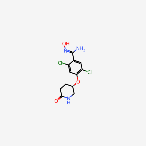 N/C(=N\O)c1cc(Cl)c(O[C@@H]2CCC(=O)NC2)cc1Cl